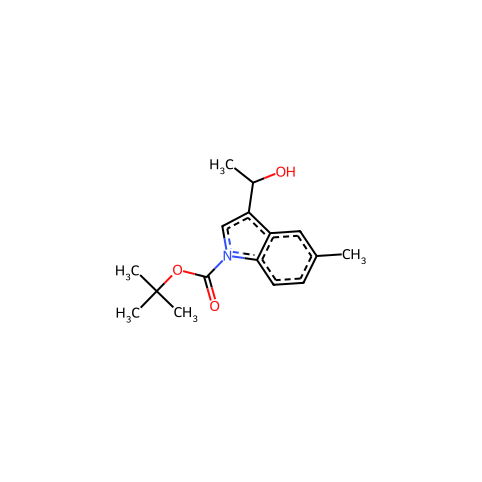 Cc1ccc2c(c1)c(C(C)O)cn2C(=O)OC(C)(C)C